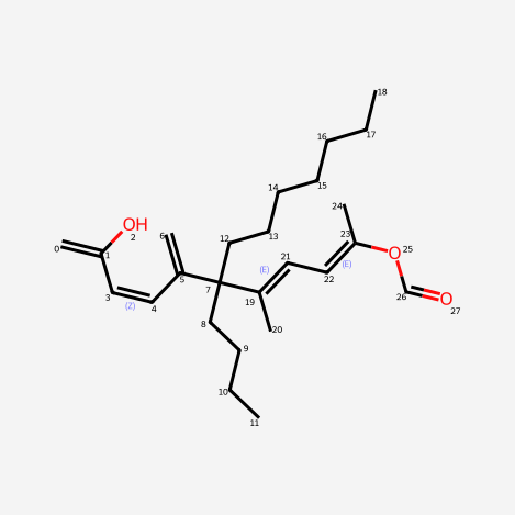 C=C(O)/C=C\C(=C)C(CCCC)(CCCCCCC)/C(C)=C/C=C(\C)OC=O